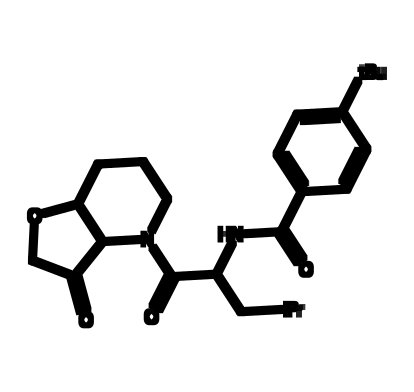 CC(C)CC(NC(=O)c1ccc(C(C)(C)C)cc1)C(=O)N1CCCC2OCC(=O)C21